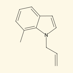 C=CCn1ccc2cccc(C)c21